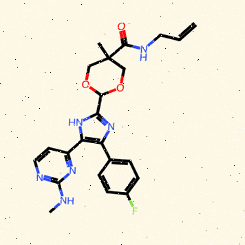 C=CCNC(=O)C1(C)COC(c2nc(-c3ccc(F)cc3)c(-c3ccnc(NC)n3)[nH]2)OC1